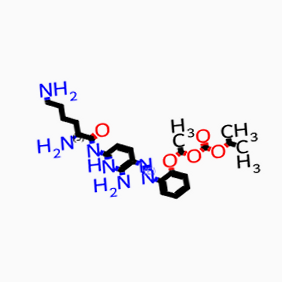 CC(C)OC(=O)OC(C)Oc1ccccc1/N=N/c1ccc(NC(=O)[C@@H](N)CCCCN)nc1N